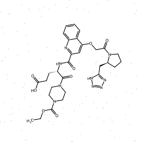 CCOC(=O)N1CCN(C(=O)[C@H](CCC(=O)O)NC(=O)c2cc(OCC(=O)N3CCC[C@H]3Cc3nnn[nH]3)c3ccccc3n2)CC1